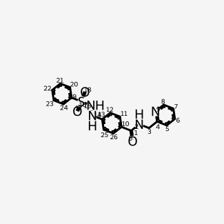 O=C(NCc1ccccn1)c1ccc(NNS(=O)(=O)c2ccccc2)cc1